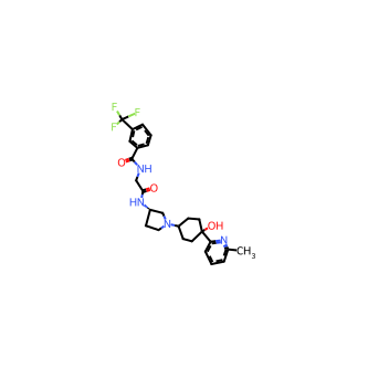 Cc1cccc(C2(O)CCC(N3CC[C@@H](NC(=O)CNC(=O)c4cccc(C(F)(F)F)c4)C3)CC2)n1